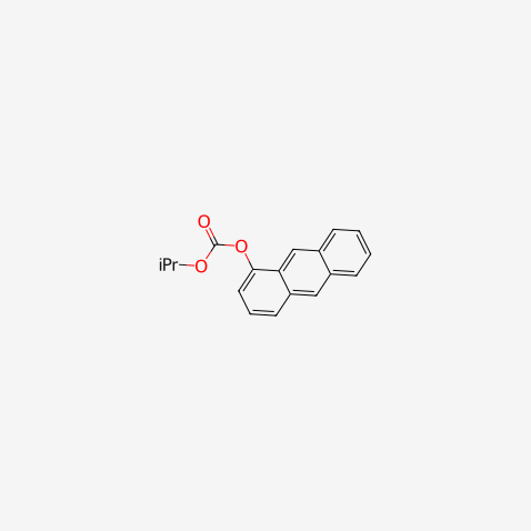 CC(C)OC(=O)Oc1cccc2cc3ccccc3cc12